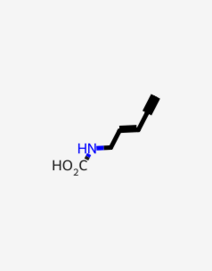 C#CC=CCNC(=O)O